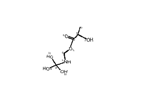 CC(O)C(=O)OCNC(O)(O)O